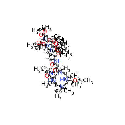 CCCCOC(C)c1c(C)c2cc3nc(c4c5[nH]c(cc6nc(cc1[nH]2)C(C)=C6CC)c(C)c5C(=O)N(CCCC)C4=O)[C@@H](CCC(=O)Nc1ccc(CC(CN(CCN(CC(=O)OC(C)C)CC(=O)OC(C)(C)C)CC(=O)OC(C)(C)C)N(CC(=O)OC(C)(C)C)CC(=O)OC(C)(C)C)cc1)[C@@H]3C